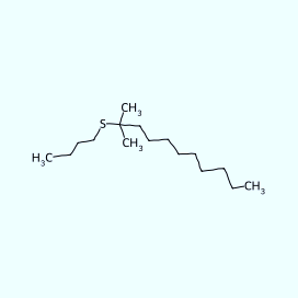 CCCCCCCCCC(C)(C)SCCCC